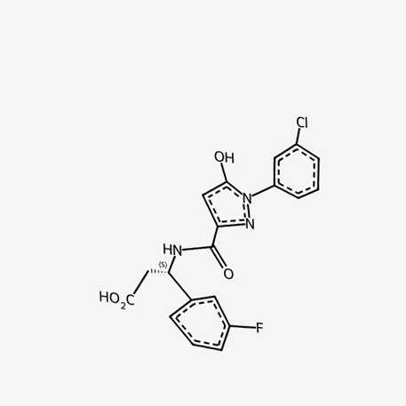 O=C(O)C[C@H](NC(=O)c1cc(O)n(-c2cccc(Cl)c2)n1)c1cccc(F)c1